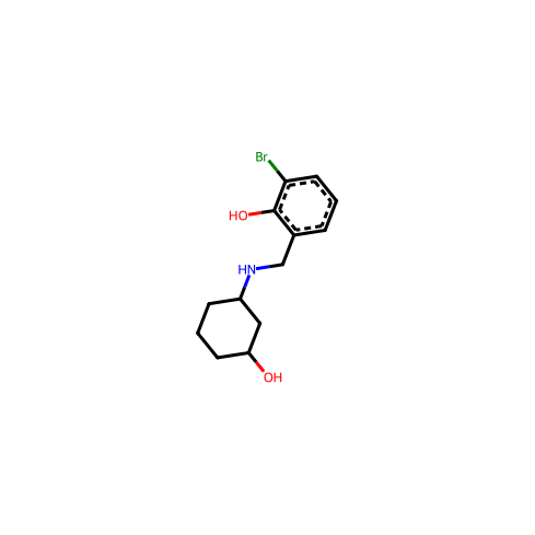 Oc1c(Br)cccc1CNC1CCCC(O)C1